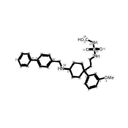 COc1cccc(C2(CCNS(=O)(=O)NC(=O)O)CCC(NCc3ccc(-c4ccccc4)cc3)CC2)c1